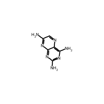 Nc1cnc2c(N)nc(N)nc2n1